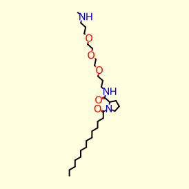 CCCCCCCCCCCCCC(=O)N1CCCC1C(=O)NCCCOCCOCCOCCCNC